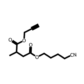 C#CCOC(=O)C(C)CC(=O)OCCCCC#N